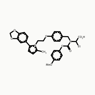 CCC(C(=O)O)N(Cc1ccc(OCCn2c(C)ccc2-c2ccc3c(c2)OCO3)cc1)C(=O)Oc1ccc(OC)cc1